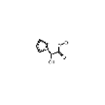 CCOC(=O)C(C)n1[c]ccc1